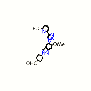 COc1cc2nn(C3CCC(C=O)CC3)cc2cc1-n1cc(-c2cccc(C(F)(F)F)n2)nn1